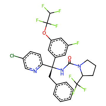 O=C(N[C@@](Cc1ccccc1)(c1cc(F)cc(OC(F)(F)C(F)F)c1)c1ccc(Cl)cn1)N1CCCC1C(F)(F)F